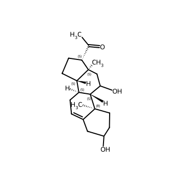 CC(=O)[C@H]1CC[C@H]2[C@@H]3CC=C4CC(O)CC[C@]4(C)[C@H]3C(O)C[C@]12C